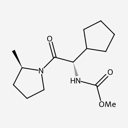 COC(=O)N[C@H](C(=O)N1CCC[C@H]1C)C1CCCC1